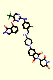 CN1Cc2cccc(Oc3nc(Nc4ccc(CNC5CCN(c6ccc7c(c6)C(=O)N(C6CCC(=O)NC6=O)C7=O)CC5)c(F)c4)ncc3C(F)(F)F)c2C1=O